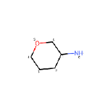 [NH]C1CCCOC1